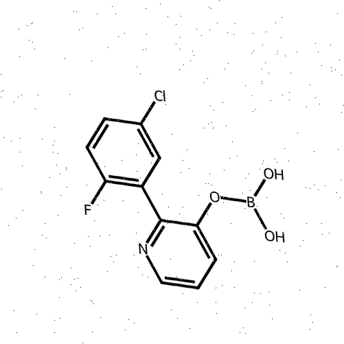 OB(O)Oc1cccnc1-c1cc(Cl)ccc1F